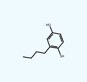 CCCCc1cc(O)ccc1S